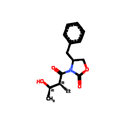 CC[C@H](C(=O)N1C(=O)OCC1Cc1ccccc1)[C@@H](C)O